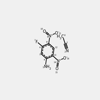 CC#N.Nc1cc(F)c([N+](=O)[O-])cc1[N+](=O)[O-]